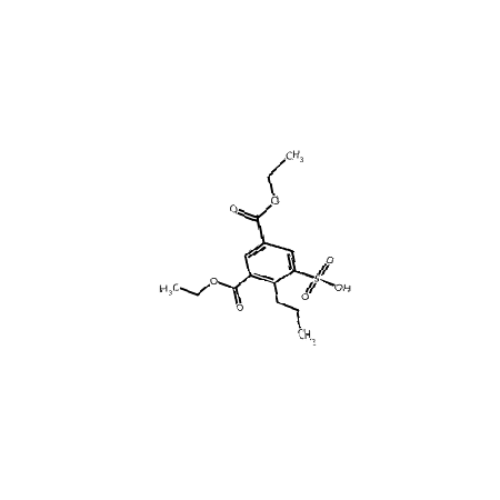 CCCc1c(C(=O)OCC)cc(C(=O)OCC)cc1S(=O)(=O)O